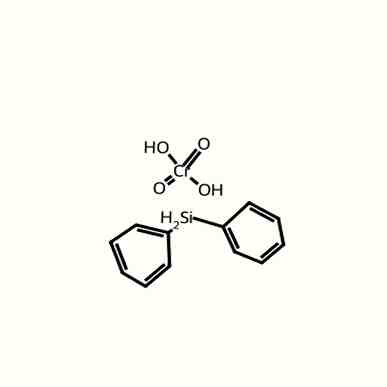 [O]=[Cr](=[O])([OH])[OH].c1ccc([SiH2]c2ccccc2)cc1